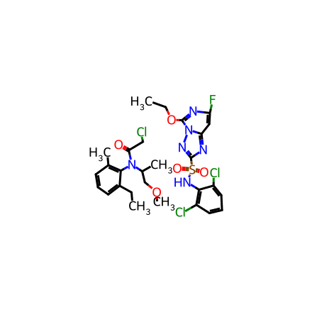 CCOc1nc(F)cc2nc(S(=O)(=O)Nc3c(Cl)cccc3Cl)nn12.CCc1cccc(C)c1N(C(=O)CCl)C(C)COC